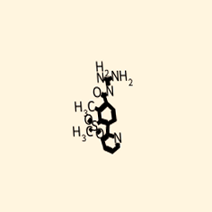 Cc1c(C(=O)N=C(N)N)ccc(-c2ccccn2)c1S(C)(=O)=O